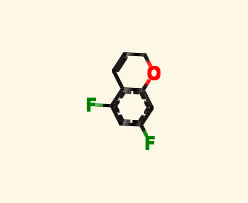 Fc1cc(F)c2c(c1)OCC=C2